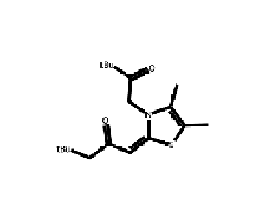 CC1=C(C)N(CC(=O)C(C)(C)C)C(=CC(=O)CC(C)(C)C)S1